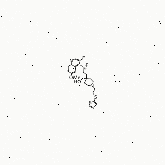 COc1ccc2ncc(F)c([C@H](F)CCC3(CO)CCN(CCSc4cccs4)CC3)c2c1